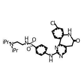 CC(C)N(CCNS(=O)(=O)c1ccc(Nc2ncc3c(n2)-c2ccc(Cl)cc2NC(=O)C3)cc1)C(C)C